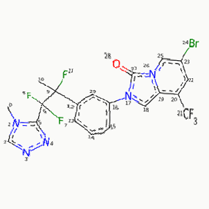 Cn1cnnc1C(F)(F)C(C)(F)c1cccc(-n2cc3c(C(F)(F)F)cc(Br)cn3c2=O)c1